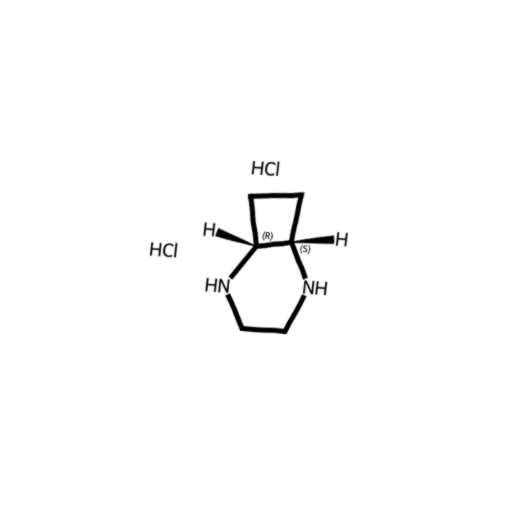 C1CN[C@@H]2CC[C@@H]2N1.Cl.Cl